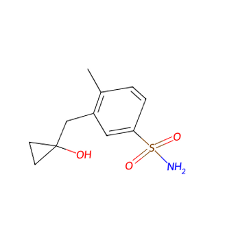 Cc1ccc(S(N)(=O)=O)cc1CC1(O)CC1